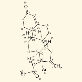 C=C1C[C@H]2[C@@H]3CCC4=CC(=O)CC[C@@H]4[C@H]3CC[C@]2(CC)[C@@]1(OC(=O)CC)C(C)=O